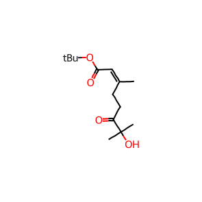 CC(=CC(=O)OC(C)(C)C)CCC(=O)C(C)(C)O